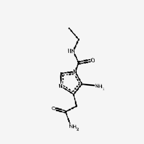 CCNC(=O)n1cnc(CC(N)=O)c1N